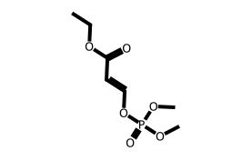 CCOC(=O)C=COP(=O)(OC)OC